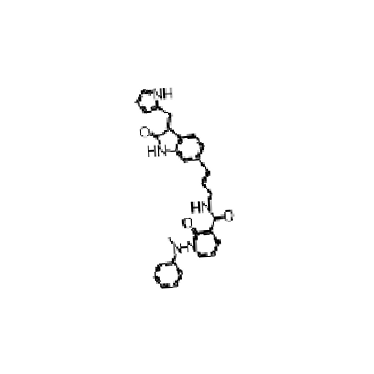 CN(c1ccccc1)n1cccc(C(=O)NCC=Cc2ccc3c(c2)NC(=O)C3=Cc2ccc[nH]2)c1=O